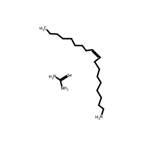 CCCCCCCC/C=C\CCCCCCCCN.NC(N)=[Se]